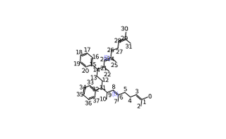 CC(C)=CCC/C(C)=C/C(C)C(CCC(c1ccccc1)C(C)/C=C(\C)CCC=C(C)C)c1ccccc1